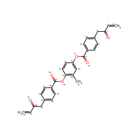 C=CC(=O)Cc1ccc(C(=O)Oc2ccc(OC(=O)c3ccc(CC(=O)C=C)cc3)c(C)c2)cc1